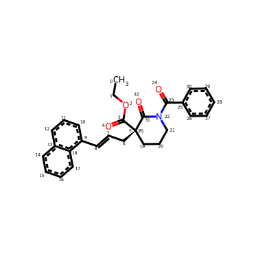 CCOC(=O)[C@@]1(CC=Cc2cccc3ccccc23)CCCN(C(=O)c2ccccc2)C1=O